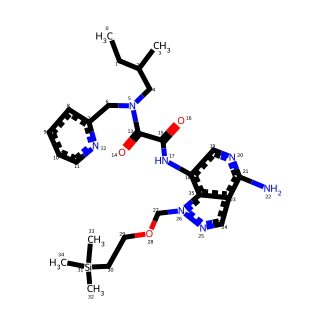 CCC(C)CN(Cc1ccccn1)C(=O)C(=O)Nc1cnc(N)c2cnn(COCC[Si](C)(C)C)c12